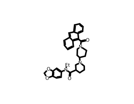 CCN(C(=O)C1CCCN(C2CCN(C(=O)c3c4ccccc4cc4ccccc34)CC2)C1)c1ccc2c(c1)OCO2